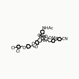 COC(=O)C(Cc1ccc(-c2ccc(C#N)cc2)cc1)NC(=O)C1Cc2cc3c(cc2CN1S(=O)(=O)c1ccc(NC(C)=O)cc1)OC(c1ccc(OCc2ccc(Cl)c(Cl)c2)cc1)CO3